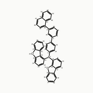 c1cc(-c2ccc(N(c3cccc4c3oc3ccccc34)c3cccc4oc5ccccc5c34)cc2)cc(-c2cccc3ccccc23)c1